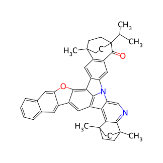 CC(C)C12CCC(C)(CC1)c1cc3c4c5oc6cc7ccccc7cc6c5cc5c6c7c(ncc6n(c3cc1C2=O)c54)C1(C)CCC7(C)CC1